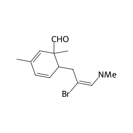 CN/C=C(/Br)CC1C=CC(C)=CC1(C)C=O